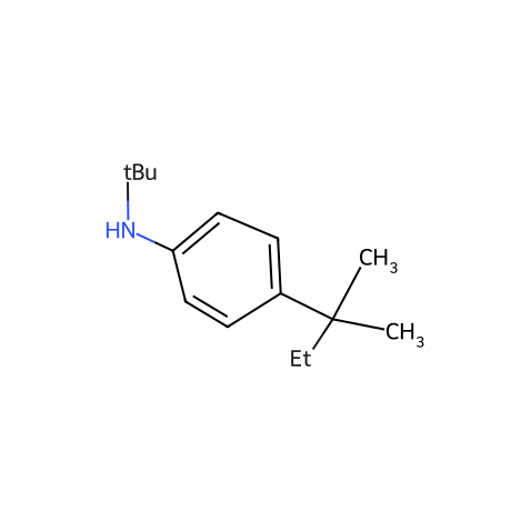 CCC(C)(C)c1ccc(NC(C)(C)C)cc1